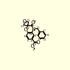 COC(=O)c1ccc2c(c1)N(Cc1ccccc1)C(=O)C1(COC1)O2